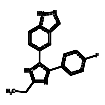 CCc1nc(-c2ccc(F)cc2)c(-c2ccc3[nH]ncc3c2)[nH]1